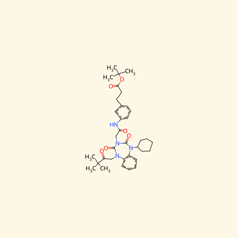 CC(C)(C)OC(=O)CCc1cccc(NC(=O)CN2C(=O)N(CC(=O)C(C)(C)C)c3ccccc3N(C3CCCCC3)C2=O)c1